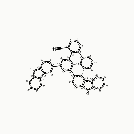 N#Cc1cccc(-c2ccccc2)c1-c1cc(-c2ccc3sc4ccccc4c3c2)cc(-c2ccc3sc4ccccc4c3c2)c1